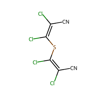 N#C/C(Cl)=C(/Cl)S/C(Cl)=C(/Cl)C#N